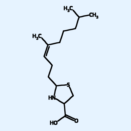 CC(=CCCC1NC(C(=O)O)CS1)CCCC(C)C